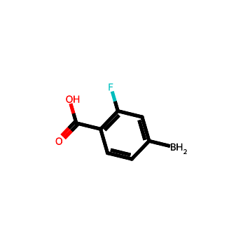 Bc1ccc(C(=O)O)c(F)c1